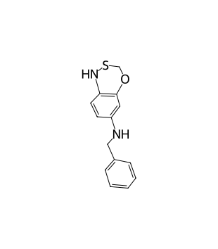 c1ccc(CNc2ccc3c(c2)OCSN3)cc1